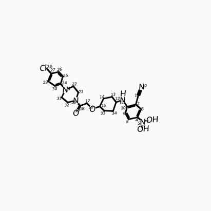 N#Cc1cc(N(O)O)ccc1NC1CCC(OCC(=O)N2CCN(c3ccc(Cl)cc3)CC2)CC1